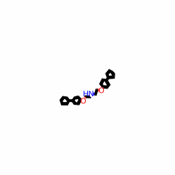 c1ccc(-c2ccc(OCCNCCOc3ccc(-c4ccccc4)cc3)cc2)cc1